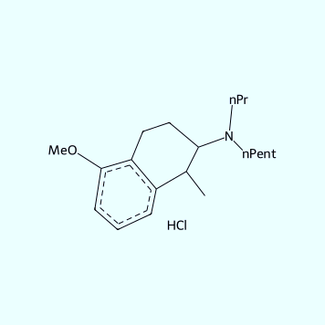 CCCCCN(CCC)C1CCc2c(OC)cccc2C1C.Cl